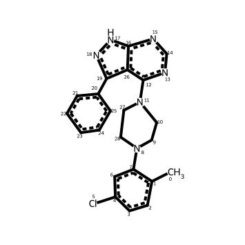 Cc1ccc(Cl)cc1N1CCN(c2ncnc3[nH]nc(-c4ccccc4)c23)CC1